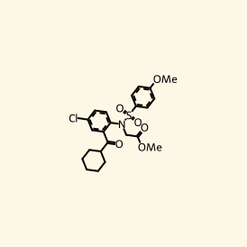 COC(=O)CN(c1ccc(Cl)cc1C(=O)C1CCCCC1)S(=O)(=O)c1ccc(OC)cc1